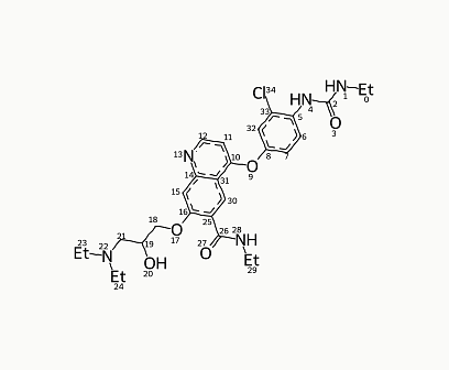 CCNC(=O)Nc1ccc(Oc2ccnc3cc(OCC(O)CN(CC)CC)c(C(=O)NCC)cc23)cc1Cl